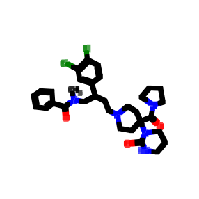 CN(CC(CCN1CCC(C(=O)N2CCCC2)(N2CCCNC2=O)CC1)c1ccc(Cl)c(Cl)c1)C(=O)c1ccccc1